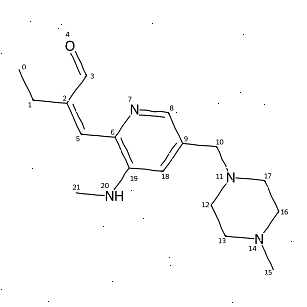 CC/C(C=O)=C/c1ncc(CN2CCN(C)CC2)cc1NC